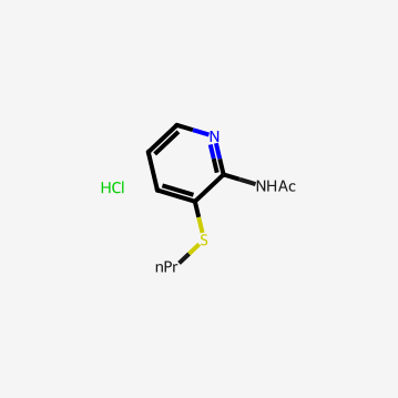 CCCSc1cccnc1NC(C)=O.Cl